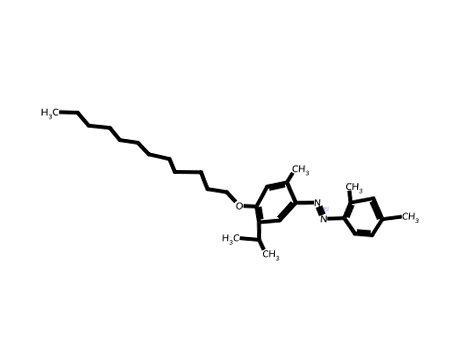 CCCCCCCCCCCCOc1cc(C)c(/N=N/c2ccc(C)cc2C)cc1C(C)C